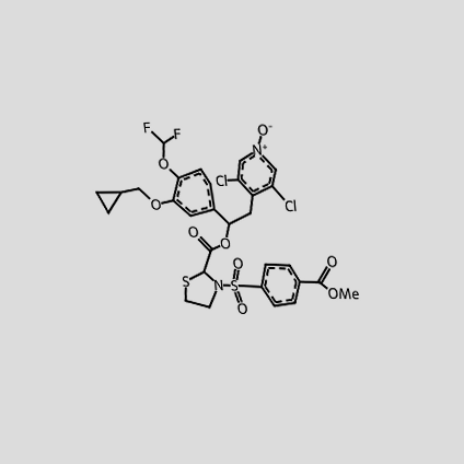 COC(=O)c1ccc(S(=O)(=O)N2CCSC2C(=O)OC(Cc2c(Cl)c[n+]([O-])cc2Cl)c2ccc(OC(F)F)c(OCC3CC3)c2)cc1